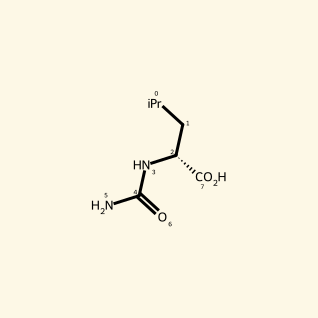 CC(C)C[C@@H](NC(N)=O)C(=O)O